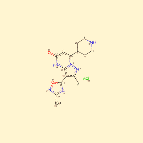 Cc1nn2c(C3CCNCC3)cc(=O)[nH]c2c1-c1nc(C(C)(C)C)no1.Cl